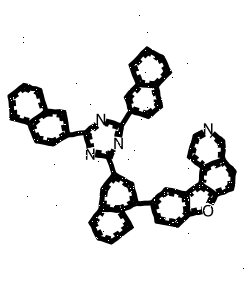 c1ccc2cc(-c3nc(-c4ccc5ccccc5c4)nc(-c4cc(-c5ccc6oc7ccc8cnccc8c7c6c5)c5ccccc5c4)n3)ccc2c1